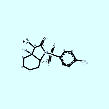 Cc1ccc(S(=O)(=O)N2C(=O)C(C)[C@H]3CCCC[C@@H]32)cc1